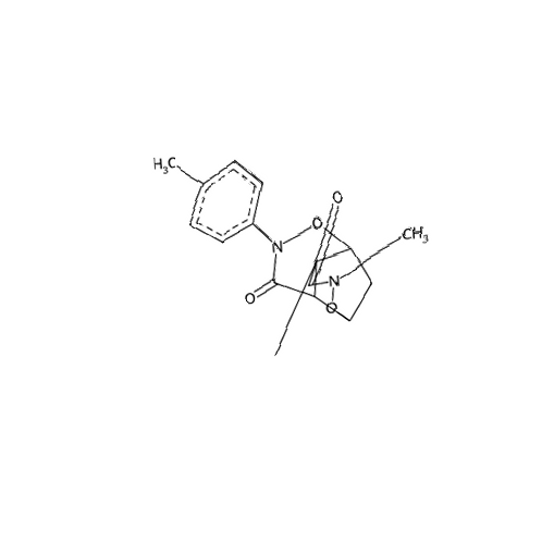 Cc1ccc(N2OC3CC4ON(C)C(=O)C3C4C2=O)cc1